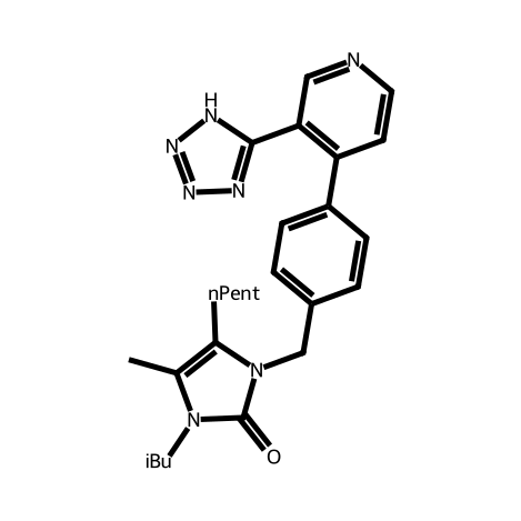 CCCCCc1c(C)n(C(C)CC)c(=O)n1Cc1ccc(-c2ccncc2-c2nnn[nH]2)cc1